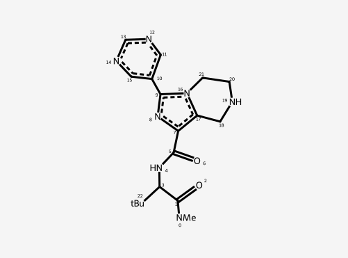 CNC(=O)C(NC(=O)c1nc(-c2cncnc2)n2c1CNCC2)C(C)(C)C